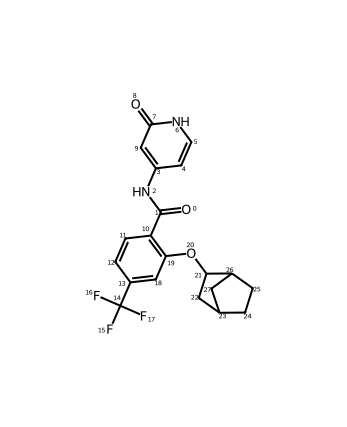 O=C(Nc1cc[nH]c(=O)c1)c1ccc(C(F)(F)F)cc1OC1CC2CCC1C2